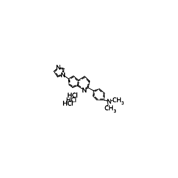 CN(C)c1ccc(-c2ccc3cc(-n4ccnc4)ccc3n2)cc1.Cl.Cl.Cl